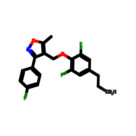 Cc1onc(-c2ccc(F)cc2)c1COc1c(F)cc(CCC(=O)O)cc1F